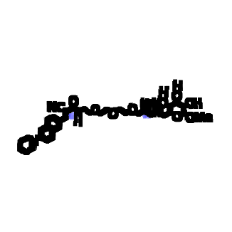 COC1OC(CN/C=C(\N)COCCOCCOCCNC(=O)/C(C#N)=C/c2ccc3cc(N4CCCCC4)ccc3c2)C(O)C(O)C1O